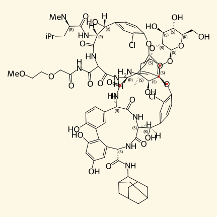 CN[C@H](CC(C)C)C(=O)N[C@H]1C(=O)NC(C(=O)NC(=O)COCCOC)C(=O)N[C@H]2C(=O)N[C@H]3C(=O)N[C@H](C(=O)N[C@H](C(=O)NC4C5CC6CC(C5)CC4C6)c4cc(O)cc(O)c4-c4cc3ccc4O)[C@H](O)c3ccc(c(Cl)c3)Oc3cc2cc(c3O[C@@H]2O[C@H](CO)[C@@H](O)[C@H](O)[C@H]2O[C@H]2C[C@](C)(N)[C@H](O)[C@H](C)O2)Oc2ccc(cc2Cl)[C@H]1O